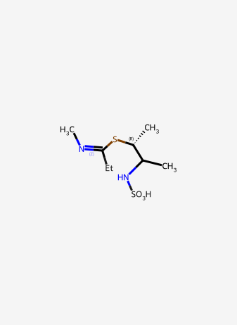 CC/C(=N/C)S[C@H](C)C(C)NS(=O)(=O)O